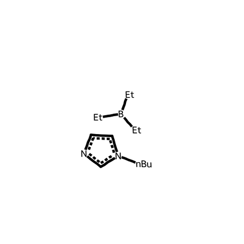 CCB(CC)CC.CCCCn1ccnc1